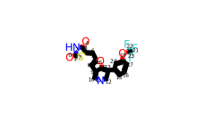 O=C1NC(=O)/C(=C/c2cc3cncc(-c4cccc(OC(F)(F)F)c4)c3o2)S1